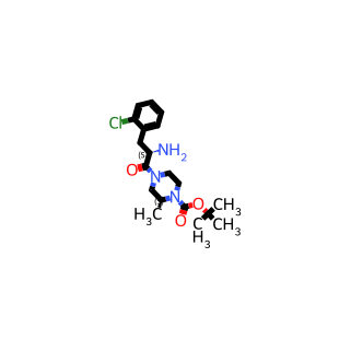 C[C@H]1CN(C(=O)[C@@H](N)Cc2ccccc2Cl)CCN1C(=O)OC(C)(C)C